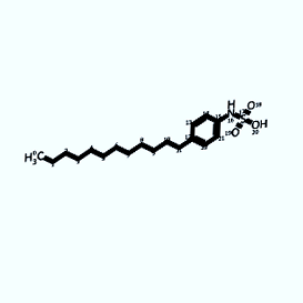 CCCCCCCCCCCCc1ccc(NS(=O)(=O)O)cc1